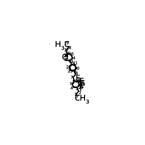 CCCC1=CC=C(CCc2ccc(C3CCC(CCC)OC3)cc2)C(F)(F)C1(F)F